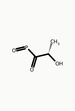 C[C@H](O)C(=O)P=O